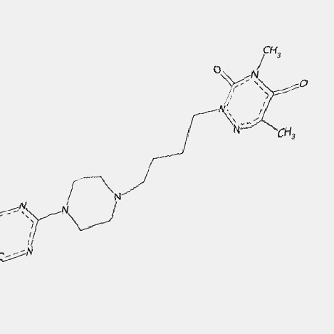 Cc1nn(CCCCN2CCN(c3ncccn3)CC2)c(=O)n(C)c1=O